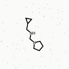 C1CCN(CNCC2CC2)C1